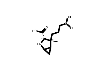 C[C@@]1(CCCB(O)O)C2CC2N[C@@H]1C(=O)O